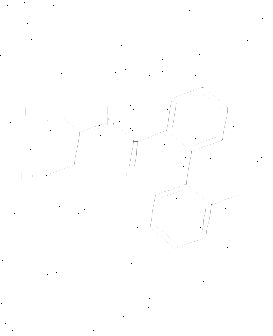 O=C(NC(CS(=O)(=O)O)C(=O)O)c1ccccc1-c1ccccc1C(F)(F)F